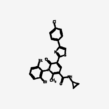 CCc1cccc(CC)c1-n1c(C)c(C(=O)NC2CC2)cc(-c2nc(-c3ccc(Cl)cc3)cs2)c1=O